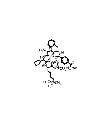 COC(=O)c1ccc(C(=O)N[C@@H](Cc2ccccc2)C(=O)N[C@@H](C)C(=O)NC(C(=O)N[C@@H](CCCC[N+](C)(C)C)C(=O)N[C@H](CO)C(=O)O)C2CCCC2)cc1